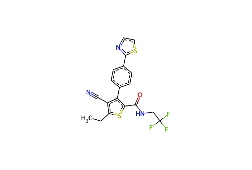 CCc1sc(C(=O)NCC(F)(F)F)c(-c2ccc(-c3nccs3)cc2)c1C#N